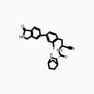 N#CC(Cc1ccc(-c2ccc3c(c2)CNC3=O)cc1F)NC(=O)[C@H]1NC2CCC1C2